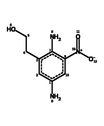 Nc1cc(CCO)c(N)c([N+](=O)[O-])c1